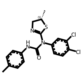 Cc1ccc(NC(=O)N(C2=NC[C@H](C)S2)c2ccc(Cl)c(Cl)c2)cc1